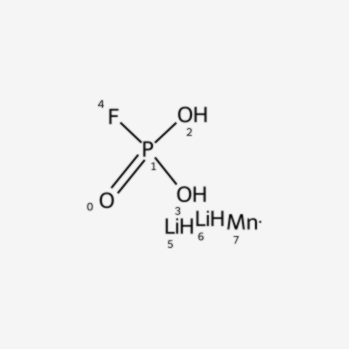 O=P(O)(O)F.[LiH].[LiH].[Mn]